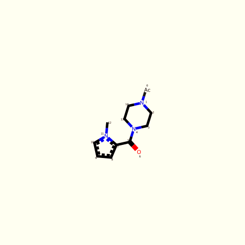 CC(=O)N1CCN(C(=O)c2cccn2C)CC1